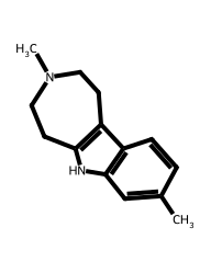 Cc1ccc2c3c([nH]c2c1)CCN(C)CC3